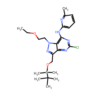 CCOCCn1nc(CO[Si](C)(C)C(C)(C)C)c2nc(Cl)nc(Nc3cccc(C)n3)c21